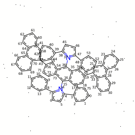 c1ccc(-c2ccc(-c3ccccc3)n2-c2c3ccc(-c4cc5ccccc5c5ccccc45)cc3c(-n3c(-c4ccccc4)ccc3-c3ccccc3)c3cc(-c4cc5ccccc5c5ccccc45)ccc23)cc1